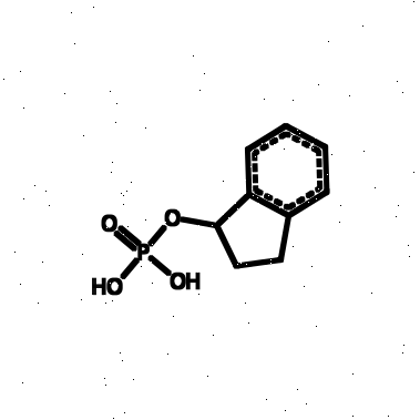 O=P(O)(O)OC1CCc2ccccc21